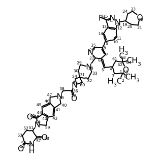 CC1(C)CC(C=C2C=C(c3ccc4c(c3)c(F)nn4C3CCOCC3)C=NC2N2CCC3(CC2)CN(C(=O)CN2Cc4cc5c(cc4C2)C(=O)N(C2CCC(=O)NC2=O)C5)C3)CC(C)(C)O1